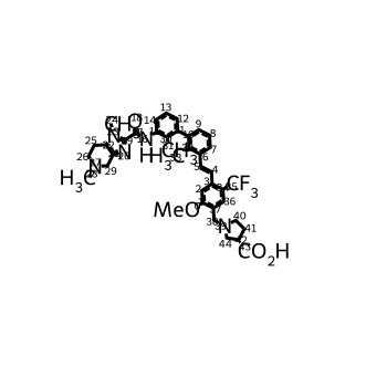 COc1cc(/C=C/c2cccc(-c3cccc(NC(=O)c4nc5c(n4C)CCN(C)C5)c3C)c2C)c(C(F)(F)F)cc1CN1CC[C@@H](C(=O)O)C1